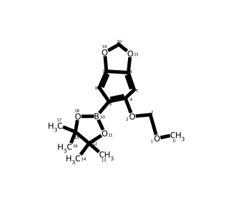 COCOc1cc2c(cc1B1OC(C)(C)C(C)(C)O1)OCO2